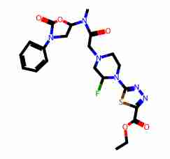 CCOC(=O)c1nnc(N2CCN(CC(=O)N(C)C3CN(c4ccccc4)C(=O)O3)CC2F)s1